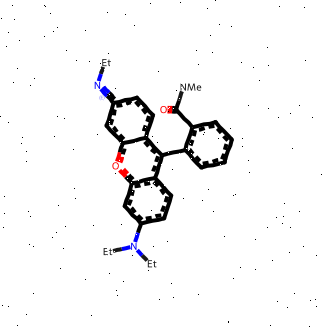 CC/N=c1\ccc2c(-c3ccccc3C(=O)NC)c3ccc(N(CC)CC)cc3oc-2c1